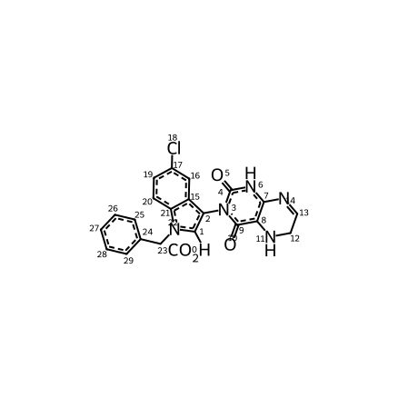 O=C(O)c1c(-n2c(=O)[nH]c3c(c2=O)NCC=N3)c2cc(Cl)ccc2n1Cc1ccccc1